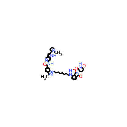 Cc1nn(CCCCCCCCNc2cccc3c2C(=O)N(C2CCC(=O)NC2=O)C3=O)c2cc(C(=O)Nc3cc4[nH]c(C5CCCN5C)cc4cn3)ccc12